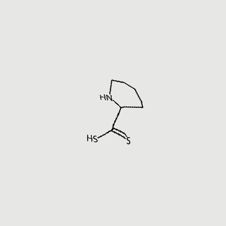 S=C(S)C1CCCN1